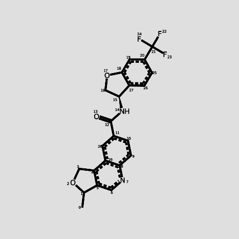 CC1OCc2c1cnc1ccc(C(=O)N[C@H]3COc4cc(C(F)(F)F)ccc43)cc21